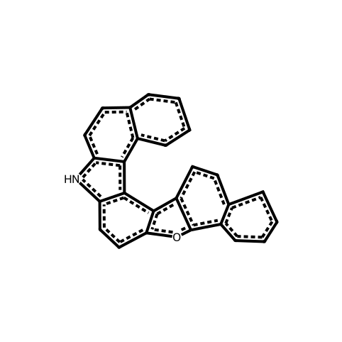 c1ccc2c(c1)ccc1c2oc2ccc3[nH]c4ccc5ccccc5c4c3c21